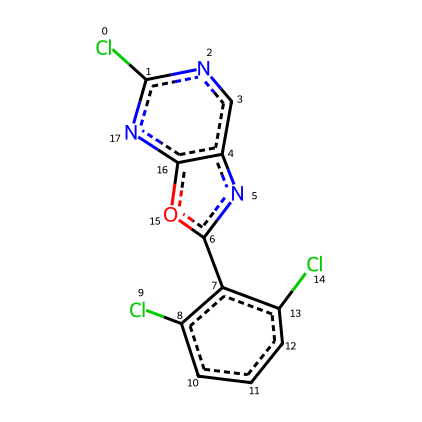 Clc1ncc2nc(-c3c(Cl)cccc3Cl)oc2n1